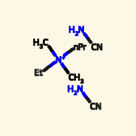 CCC[N+](C)(C)CC.N#CN.N#CN